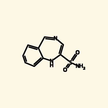 NS(=O)(=O)C1=CN=Cc2ccccc2N1